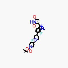 Cn1nc(C2CCC(=O)NC2=O)c2ccc(C3CCN(CC4(F)CCN(C(=O)OC(C)(C)C)CC4)CC3)c(F)c21